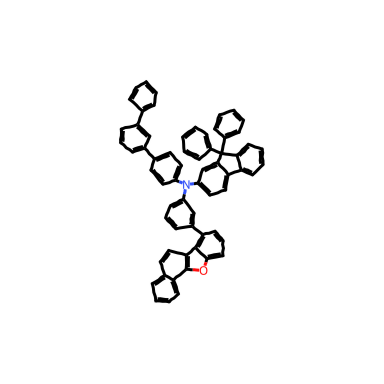 c1ccc(-c2cccc(-c3ccc(N(c4cccc(-c5cccc6oc7c8ccccc8ccc7c56)c4)c4ccc5c(c4)C(c4ccccc4)(c4ccccc4)c4ccccc4-5)cc3)c2)cc1